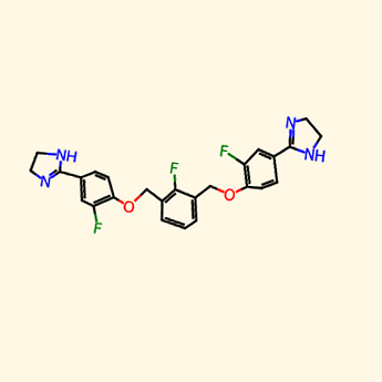 Fc1cc(C2=NCCN2)ccc1OCc1cccc(COc2ccc(C3=NCCN3)cc2F)c1F